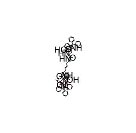 CC(C)(C)C(C(=O)N(C(C)(C)C)C(c1ccccc1)(c1ccccc1)c1ccccc1)[C@H](NC(=O)O)C(=O)NCCC=CCCNC(=O)[C@H](CC(=O)NC(c1ccccc1)(c1ccccc1)c1ccccc1)NC(=O)O